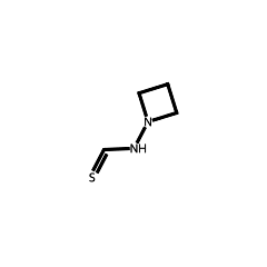 S=CNN1CCC1